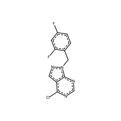 Fc1ccc(Cn2ncc3c(Cl)ncnc32)c(F)c1